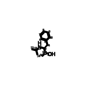 CB(O)[C@H](Cc1ccccc1)NC(C)C